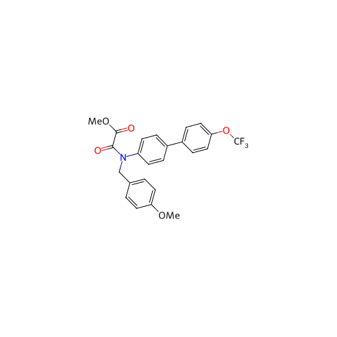 COC(=O)C(=O)N(Cc1ccc(OC)cc1)c1ccc(-c2ccc(OC(F)(F)F)cc2)cc1